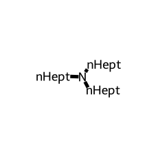 CCCCCCCN(CCCCCCC)CCCCCCC